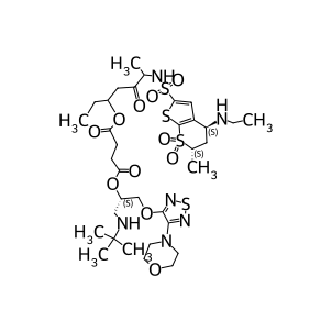 CCN[C@H]1C[C@H](C)S(=O)(=O)c2sc(S(=O)(=O)NC(C)C(=O)CC(CC)OC(=O)CCC(=O)O[C@@H](CNC(C)(C)C)COc3nsnc3N3CCOCC3)cc21